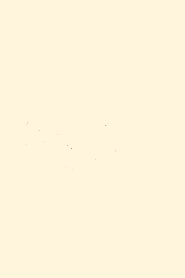 C=C(O[Si](C)(C)C)c1ccc(N(C(=O)OC(C)(C)C)[Si](C)(C)C)cc1